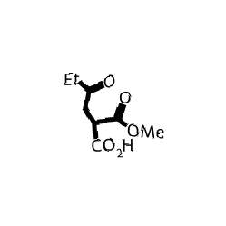 CCC(=O)CC(C(=O)O)C(=O)OC